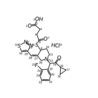 Cl.O=C(O)CCC(=O)SC1CCN(C(C(=O)C2CC2)c2ccccc2F)C/C1=C/c1csnn1